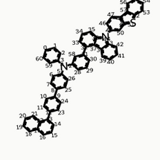 c1ccc(N(c2ccc(-c3ccc(-c4cccc5ccccc45)cc3)cc2)c2cccc(-c3cccc4c3c3ccccc3n4-c3ccc4c(c3)sc3ccccc34)c2)cc1